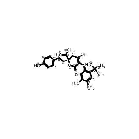 Cc1cc(SC2=C(O)C[C@@](CCc3ccc(O)cc3)(C(C)C)OC2=O)c(C(C)(C)C)cc1N